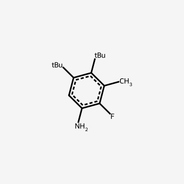 Cc1c(F)c(N)cc(C(C)(C)C)c1C(C)(C)C